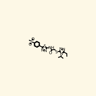 CCc1nnc(SCC(=O)Nc2nnc(-c3ccc(S(C)(=O)=O)cc3)s2)n1C(C)C